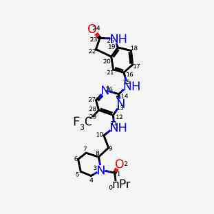 CCCC(=O)N1CCCCC1CCNc1nc(Nc2ccc3c(c2)CC(=O)N3)ncc1C(F)(F)F